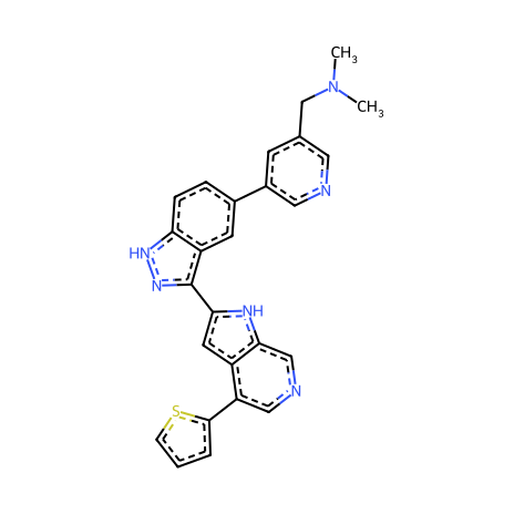 CN(C)Cc1cncc(-c2ccc3[nH]nc(-c4cc5c(-c6cccs6)cncc5[nH]4)c3c2)c1